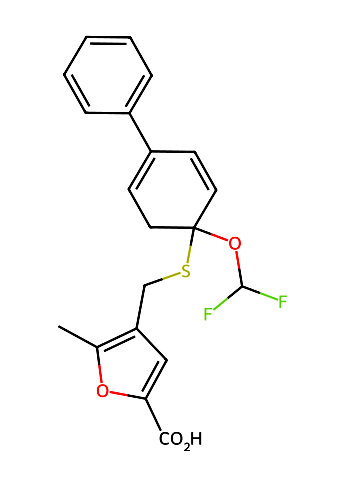 Cc1oc(C(=O)O)cc1CSC1(OC(F)F)C=CC(c2ccccc2)=CC1